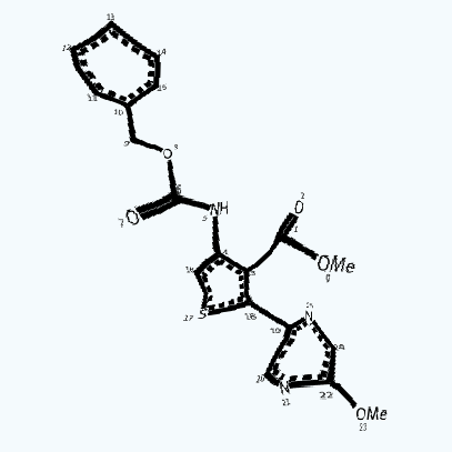 COC(=O)c1c(NC(=O)OCc2ccccc2)csc1-c1cnc(OC)cn1